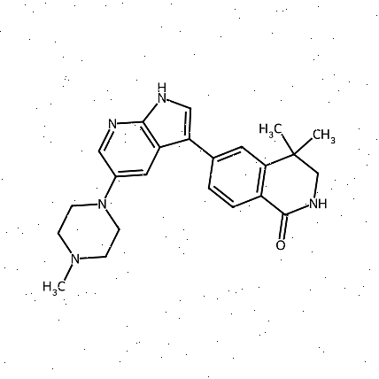 CN1CCN(c2cnc3[nH]cc(-c4ccc5c(c4)C(C)(C)CNC5=O)c3c2)CC1